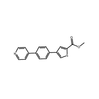 COC(=O)c1cc(-c2ccc(-c3ccncc3)cc2)cs1